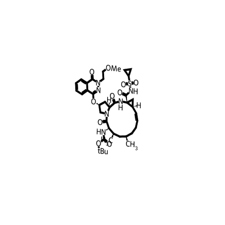 COCCn1nc(O[C@@H]2C[C@H]3C(=O)N[C@]4(C(=O)NS(=O)(=O)C5CC5)C[C@H]4/C=C\CC[C@@H](C)C[C@@H](C)[C@H](NC(=O)OC(C)(C)C)C(=O)N3C2)c2ccccc2c1=O